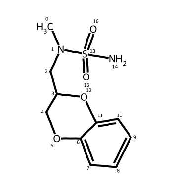 CN(CC1COc2ccccc2O1)S(N)(=O)=O